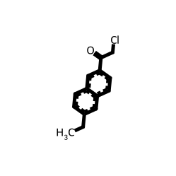 CCc1ccc2cc(C(=O)CCl)ccc2c1